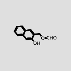 O=COCc1cc2ccccc2cc1O